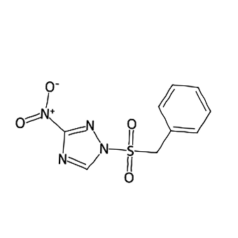 O=[N+]([O-])c1ncn(S(=O)(=O)Cc2ccccc2)n1